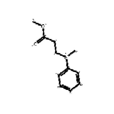 COC(=O)CCN(C)c1[c]cccc1